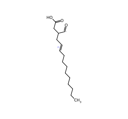 CCCCCCCCC/C=C/CC([C]=O)CC(=O)O